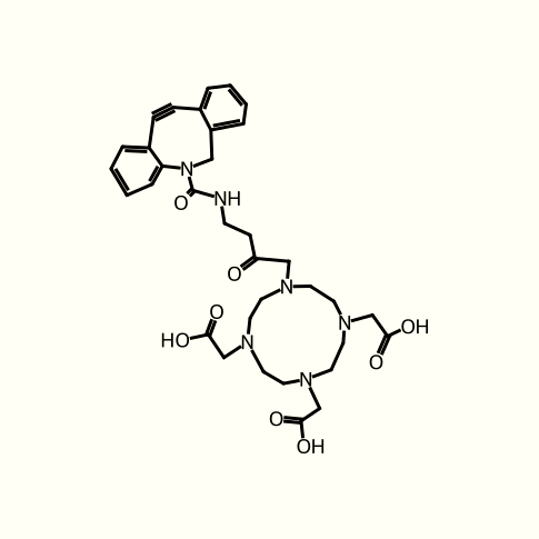 O=C(O)CN1CCN(CC(=O)O)CCN(CC(=O)CCNC(=O)N2Cc3ccccc3C#Cc3ccccc32)CCN(CC(=O)O)CC1